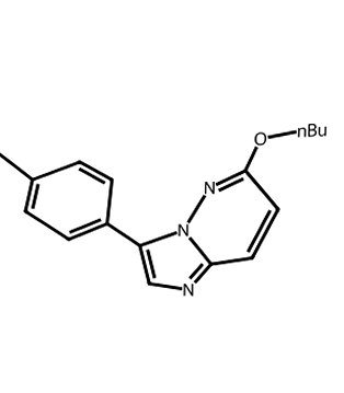 [CH2]CCCOc1ccc2ncc(-c3ccc(Cl)cc3)n2n1